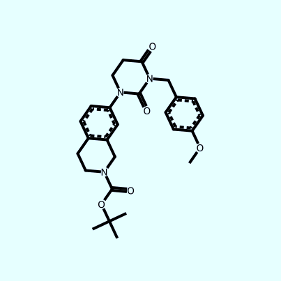 COc1ccc(CN2C(=O)CCN(c3ccc4c(c3)CN(C(=O)OC(C)(C)C)CC4)C2=O)cc1